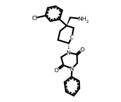 NC[C@]1(c2cccc(Cl)c2)CC[C@@H](N2CC(=O)N(c3ccccc3)CC2=O)CC1